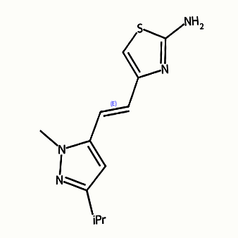 CC(C)c1cc(/C=C/c2csc(N)n2)n(C)n1